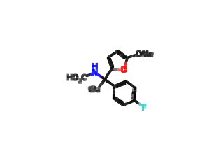 COc1ccc(C(NC(=O)O)(c2ccc(F)cc2)C(C)(C)C)o1